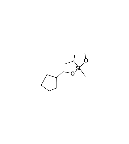 CO[Si](C)(OCC1CCCC1)C(C)C